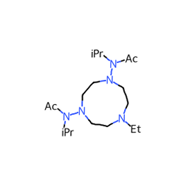 CCN1CCN(N(C(C)=O)C(C)C)CCN(N(C(C)=O)C(C)C)CC1